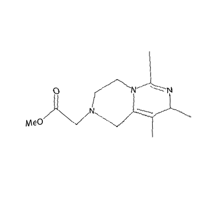 COC(=O)CN1CCN2C(C)=NC(C)C(C)=C2C1